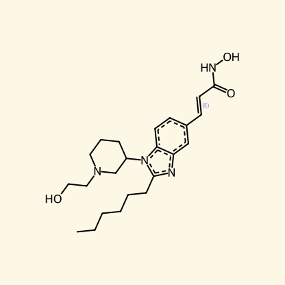 CCCCCCc1nc2cc(/C=C/C(=O)NO)ccc2n1C1CCCN(CCO)C1